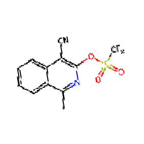 Cc1nc(OS(=O)(=O)C(F)(F)F)c(C#N)c2ccccc12